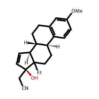 CCC12CC[C@@H]3c4ccc(OC)cc4CC[C@H]3[C@@H]1C=C[C@@]2(O)CC#N